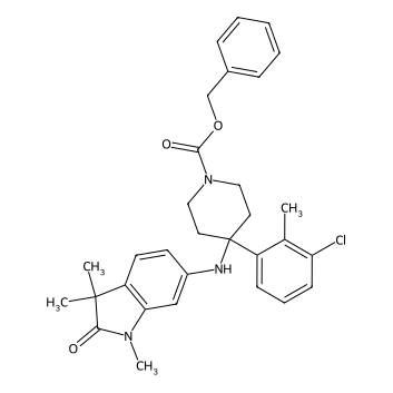 Cc1c(Cl)cccc1C1(Nc2ccc3c(c2)N(C)C(=O)C3(C)C)CCN(C(=O)OCc2ccccc2)CC1